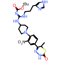 CC1SC(=O)NN=C1c1ccc(N2CCC(NC(=NC(=O)OC(C)(C)C)NCCCc3c[nH]cn3)CC2)c([N+](=O)[O-])c1